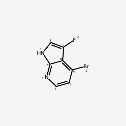 Fc1c[nH]c2nccc(Br)c12